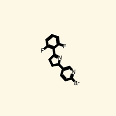 Fc1cccc(F)c1C1=NC(c2ccc(Br)nc2)CC1